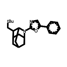 CC(C)(C)CC1C2CC3CC(C2)N(c2ncc(-c4ccccc4)o2)C1C3